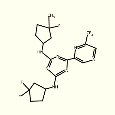 CC1(F)CCC(Nc2nc(NC3CCC(F)(F)C3)nc(-c3cncc(C(F)(F)F)n3)n2)C1